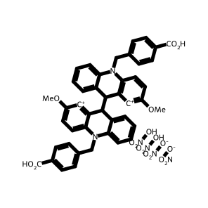 COC1=[C+]C2=C(C=C1)N(Cc1ccc(C(=O)O)cc1)c1ccccc1C2C1C2=[C+]C(OC)=CC=C2N(Cc2ccc(C(=O)O)cc2)c2ccccc21.O=[N+]([O-])O.O=[N+]([O-])O.O=[N+]([O-])[O-].O=[N+]([O-])[O-]